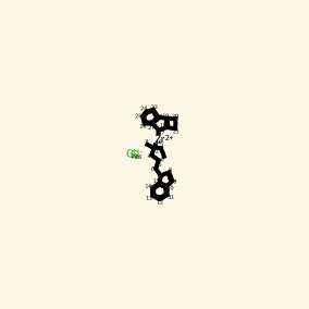 CC[C](C)(CCCC1C=Cc2ccccc21)[Zr+2][CH]1C2=C(CC2)c2ccccc21.[Cl-].[Cl-]